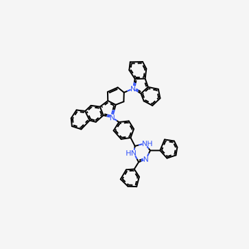 C1=CC(n2c3ccccc3c3ccccc32)Cc2c1c1cc3ccccc3cc1n2-c1ccc(C2NC(c3ccccc3)=NC(c3ccccc3)N2)cc1